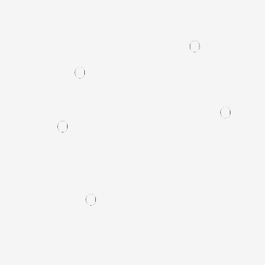 CCCC(C(=O)OC)C(C(C)=O)C(=O)OC